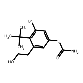 CC(C)(C)c1c(Br)cc(OC(N)=O)cc1CCO